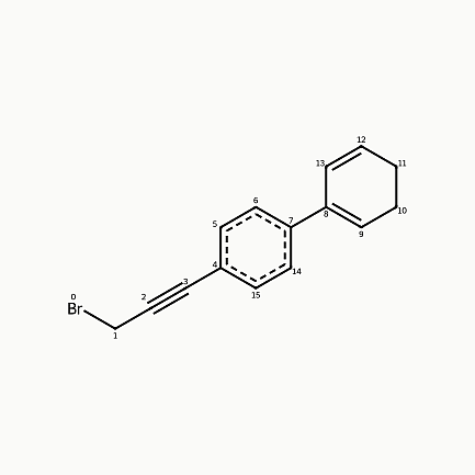 BrCC#Cc1ccc(C2=CCCC=C2)cc1